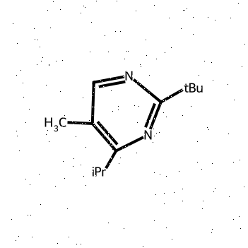 Cc1cnc(C(C)(C)C)nc1C(C)C